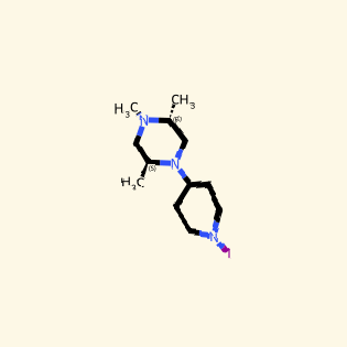 C[C@@H]1CN(C2CCN(I)CC2)[C@@H](C)CN1C